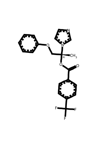 C[C@](COc1ccccc1)(OC(=O)c1ccc(C(F)(F)F)cc1)n1ccnc1